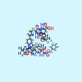 CCn1c(-c2cc(N3CCN(C(=O)OCc4ccccc4)CC3)cnc2C(C)OC)c(CC(C)(C)CO)c2cc(-c3csc(CC(NC(=O)OC(C)(C)C)C(=O)N4CCC[C@@H](C(=O)O)N4)n3)ccc21